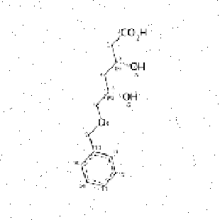 O=C(O)C[C@H](O)C[C@H](O)COCc1ccccc1